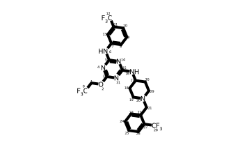 FC(F)(F)COc1nc(Nc2cccc(C(F)(F)F)c2)nc(NC2CCN(Cc3ccccc3C(F)(F)F)CC2)n1